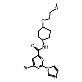 COCCOC1CCC(NC(=O)c2cc(Br)nc(-n3ccnc3)n2)CC1